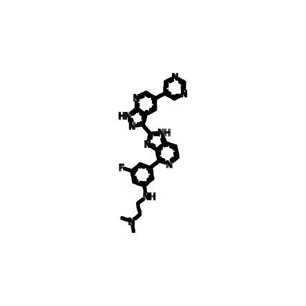 CN(C)CCNc1cc(F)cc(-c2nccc3[nH]c(-c4n[nH]c5ncc(-c6cncnc6)cc45)nc23)c1